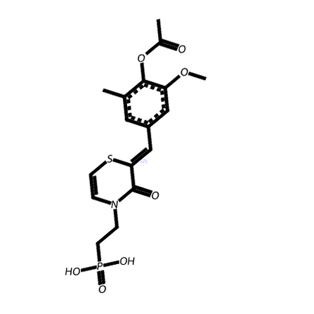 COc1cc(/C=C2\SC=CN(CCP(=O)(O)O)C2=O)cc(C)c1OC(C)=O